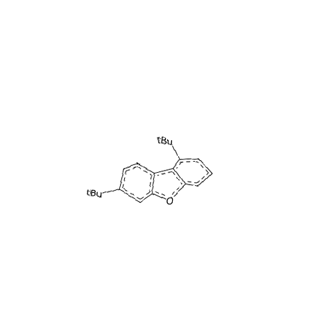 CC(C)(C)c1ccc2c(c1)oc1cccc(C(C)(C)C)c12